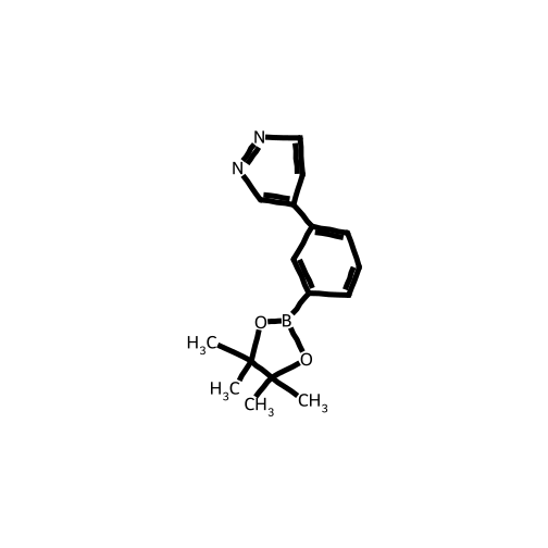 CC1(C)OB(c2cccc(-c3ccnnc3)c2)OC1(C)C